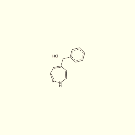 C1=CC(Cc2ccccc2)=CC=NN1.Cl